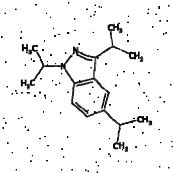 CC(C)c1ccc2c(c1)c(C(C)C)nn2C(C)C